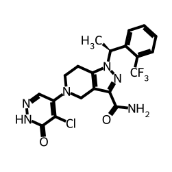 C[C@@H](c1ccccc1C(F)(F)F)n1nc(C(N)=O)c2c1CCN(c1cn[nH]c(=O)c1Cl)C2